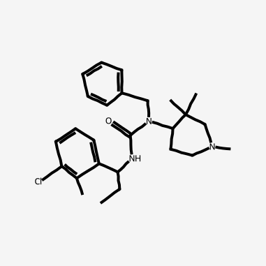 CCC(NC(=O)N(Cc1ccccc1)C1CCN(C)CC1(C)C)c1cccc(Cl)c1C